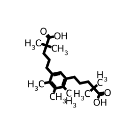 Cc1c(CCCC(C)(C)C(=O)O)cc(CCCC(C)(C)C(=O)O)c(C)c1C